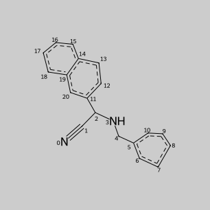 N#CC(NCc1ccccc1)c1ccc2ccccc2c1